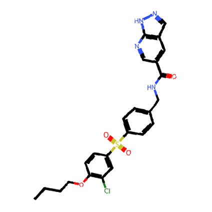 CCCCOc1ccc(S(=O)(=O)c2ccc(CNC(=O)c3cnc4[nH]ncc4c3)cc2)cc1Cl